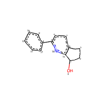 OC1CCc2ccc(-c3ccccc3)nc21